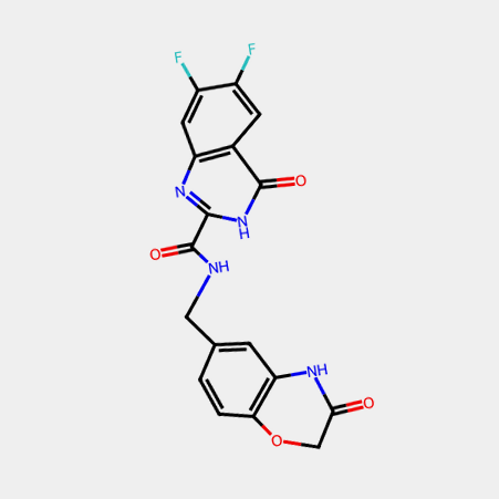 O=C1COc2ccc(CNC(=O)c3nc4cc(F)c(F)cc4c(=O)[nH]3)cc2N1